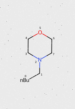 C[CH]CCCN1CCOCC1